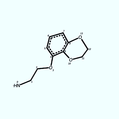 [NH]CCOc1cccc2c1OCCO2